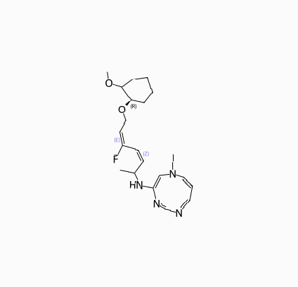 COC1CCCC[C@H]1OC/C=C(F)\C=C/C(C)Nc1cn(C)cccncn1